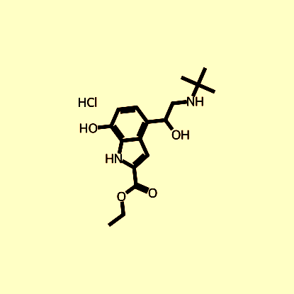 CCOC(=O)c1cc2c(C(O)CNC(C)(C)C)ccc(O)c2[nH]1.Cl